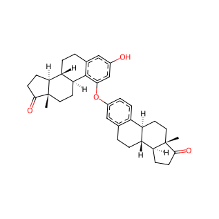 C[C@]12CC[C@@H]3c4ccc(Oc5cc(O)cc6c5[C@H]5CC[C@]7(C)C(=O)CC[C@H]7[C@@H]5CC6)cc4CC[C@H]3[C@@H]1CCC2=O